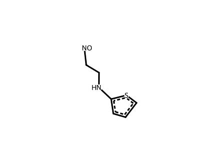 O=NCCNc1cccs1